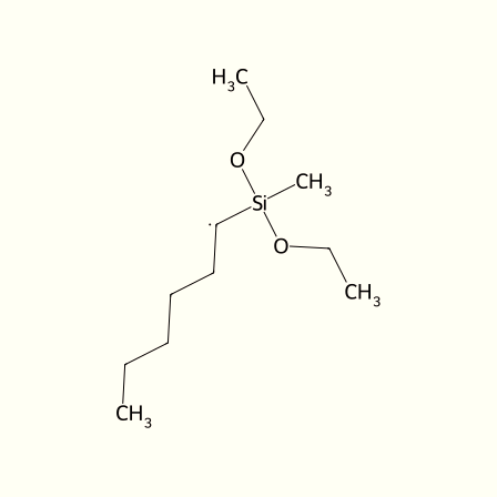 CCCCC[CH][Si](C)(OCC)OCC